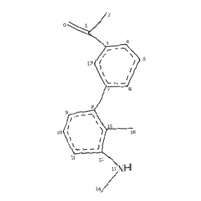 C=C(C)c1cccc(-c2cccc(NC)c2C)c1